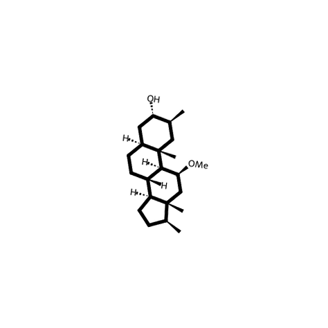 CO[C@H]1C[C@]2(C)[C@@H](C)CC[C@H]2[C@@H]2CC[C@H]3C[C@H](O)[C@@H](C)C[C@]3(C)[C@H]21